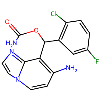 NC(=O)OC(c1cc(F)ccc1Cl)c1c(N)ccn2ccnc12